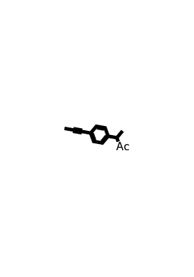 CC#Cc1ccc(C(C)C(C)=O)cc1